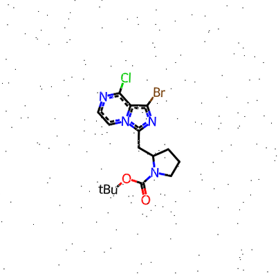 CC(C)(C)OC(=O)N1CCCC1Cc1nc(Br)c2c(Cl)nccn12